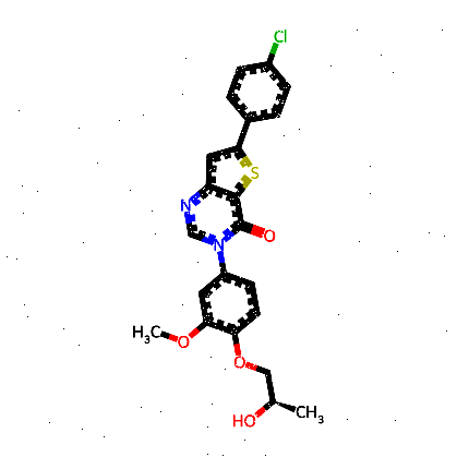 COc1cc(-n2cnc3cc(-c4ccc(Cl)cc4)sc3c2=O)ccc1OC[C@@H](C)O